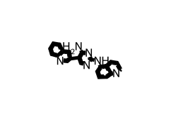 Nc1nc(Nc2cccc3ncccc23)ncc1-c1cnc2ccccc2c1